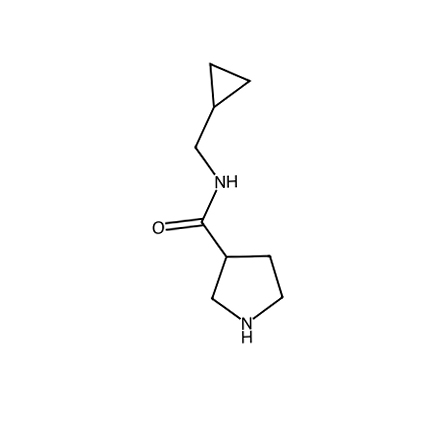 O=C(NCC1CC1)C1CCNC1